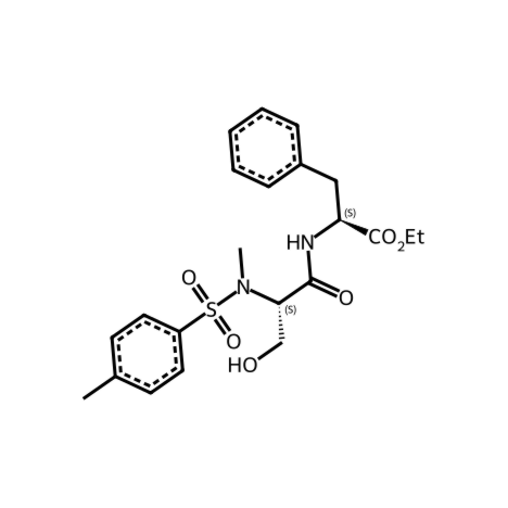 CCOC(=O)[C@H](Cc1ccccc1)NC(=O)[C@H](CO)N(C)S(=O)(=O)c1ccc(C)cc1